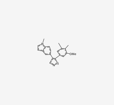 COc1cc(-c2sncc2-c2ccc3c(ccn3C)c2)cc(C)c1C